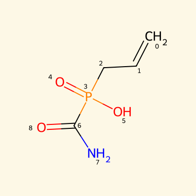 C=CCP(=O)(O)C(N)=O